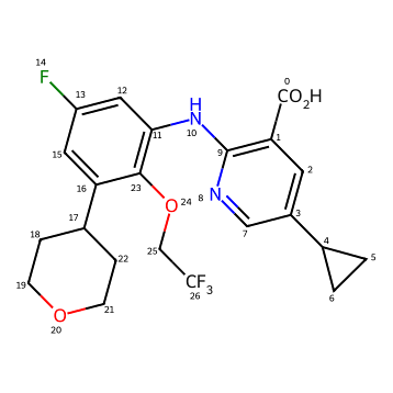 O=C(O)c1cc(C2CC2)cnc1Nc1cc(F)cc(C2CCOCC2)c1OCC(F)(F)F